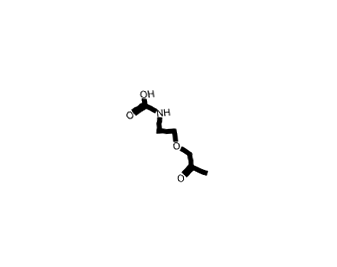 CC(=O)COCCNC(=O)O